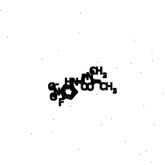 CCC(=O)N(C)CC(=O)Nc1ccc(F)c([N+](=O)[O-])c1